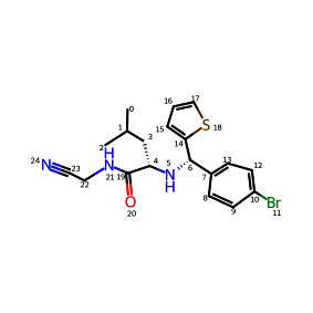 CC(C)C[C@H](N[C@@H](c1ccc(Br)cc1)c1cccs1)C(=O)NCC#N